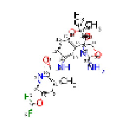 Cc1cc(OC(F)F)cnc1C(=O)Nc1ccc2c(c1)C1(COC(N)=N1)C1(COC1)C(C)(C)O2